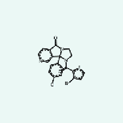 O=C1c2ccncc2C2(c3ccc(Cl)cc3)N1CCN2C(=O)c1sccc1Br